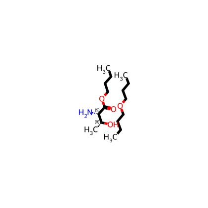 CCCCOC(=O)[C@@H](N)[C@@H](C)O.CCCCOCCCC